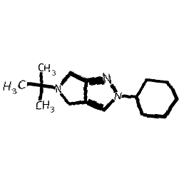 CC(C)(C)N1Cc2cn(C3CCCCC3)nc2C1